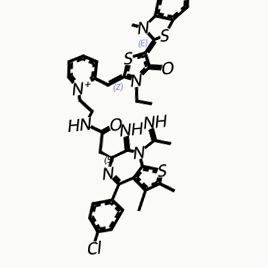 CCn1c(=O)/c(=C2\Sc3ccccc3N2C)s/c1=C\c1cccc[n+]1CCNC(=O)C[C@@H]1N=C(c2ccc(Cl)cc2)c2c(sc(C)c2C)N(C(C)=N)C1=N